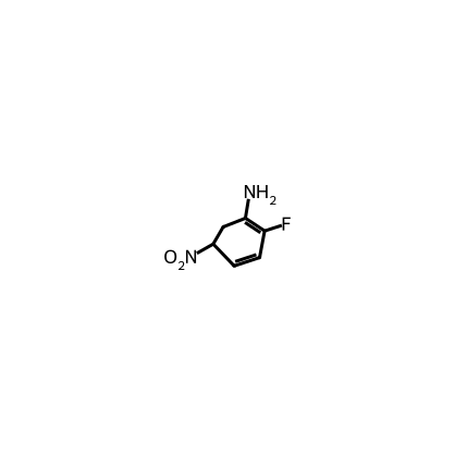 NC1=C(F)C=CC([N+](=O)[O-])C1